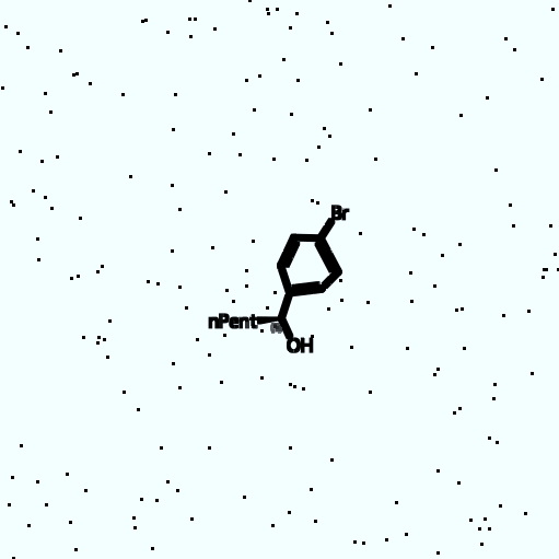 CCCCC[C@H](O)c1ccc(Br)cc1